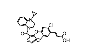 O=C(O)/C=C/c1cc(Cl)c(Oc2ccsc2C(=O)N2CCN(C3CC3)c3ccccc32)cc1Cl